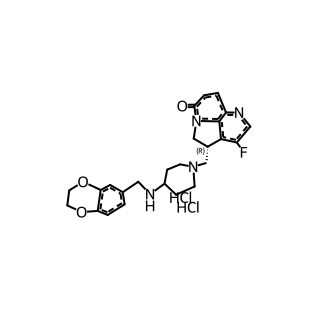 Cl.Cl.O=c1ccc2ncc(F)c3c2n1C[C@H]3CN1CCC(NCc2ccc3c(c2)OCCO3)CC1